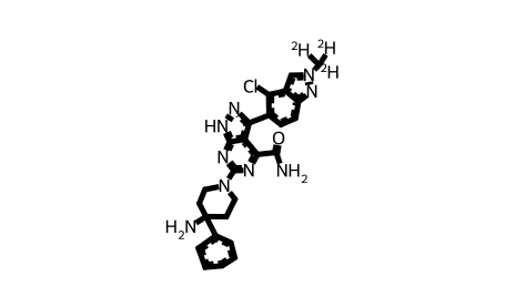 [2H]C([2H])([2H])n1cc2c(Cl)c(-c3n[nH]c4nc(N5CCC(N)(c6ccccc6)CC5)nc(C(N)=O)c34)ccc2n1